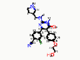 CN1CCC(CN(C)c2nc(-c3ccc(C#N)c(F)c3)c(-c3ccc(OCCO)cc3)c(=O)n2C)C1